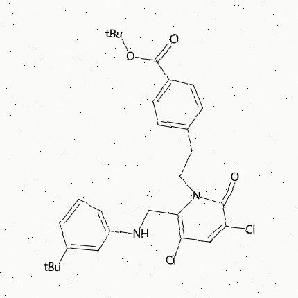 CC(C)(C)OC(=O)c1ccc(CCn2c(CNc3cccc(C(C)(C)C)c3)c(Cl)cc(Cl)c2=O)cc1